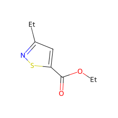 CCOC(=O)c1cc(CC)ns1